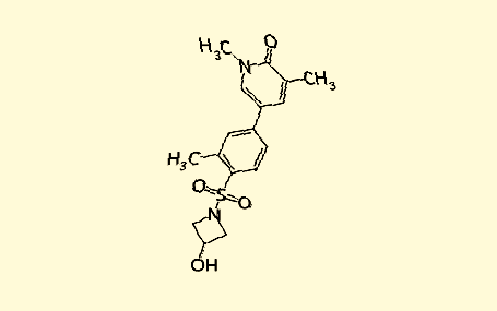 Cc1cc(-c2cc(C)c(=O)n(C)c2)ccc1S(=O)(=O)N1CC(O)C1